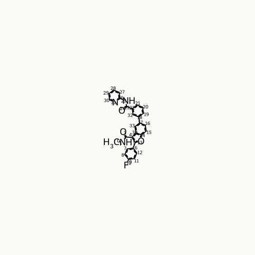 CNC(=O)c1c(-c2ccc(F)cc2)oc2ccc(-c3cccc(C(=O)Nc4ccccn4)c3)cc12